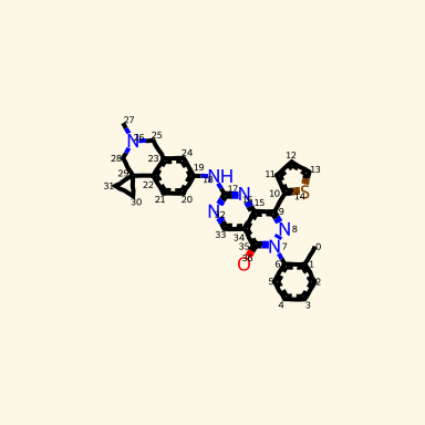 Cc1ccccc1-n1nc(-c2cccs2)c2nc(Nc3ccc4c(c3)CN(C)CC43CC3)ncc2c1=O